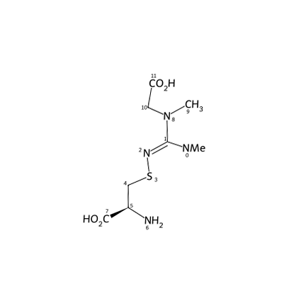 CN/C(=N\SC[C@@H](N)C(=O)O)N(C)CC(=O)O